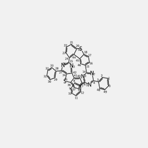 c1ccc(-c2nc(-c3ccccc3)nc(-c3ccc4sc5cccc(-c6nc(-c7ccccc7)c7sc8ccccc8c7n6)c5c4c3)n2)cc1